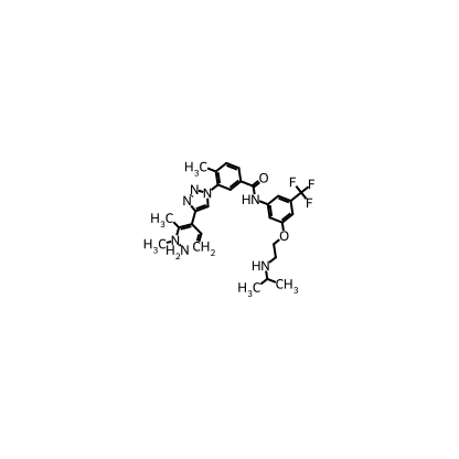 C=C/C(=C(/C)N(C)N)c1cn(-c2cc(C(=O)Nc3cc(OCCNC(C)C)cc(C(F)(F)F)c3)ccc2C)nn1